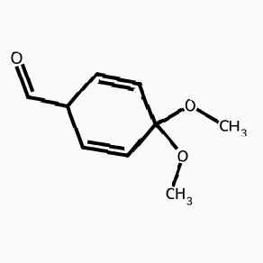 COC1(OC)C=CC(C=O)C=C1